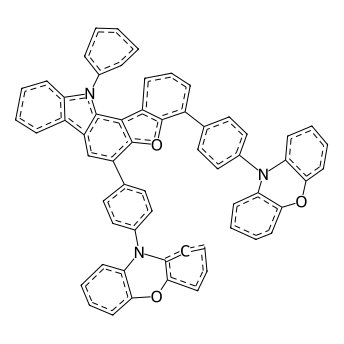 c1ccc(-n2c3ccccc3c3cc(-c4ccc(N5c6ccccc6Oc6ccccc65)cc4)c4oc5c(-c6ccc(N7c8ccccc8Oc8ccccc87)cc6)cccc5c4c32)cc1